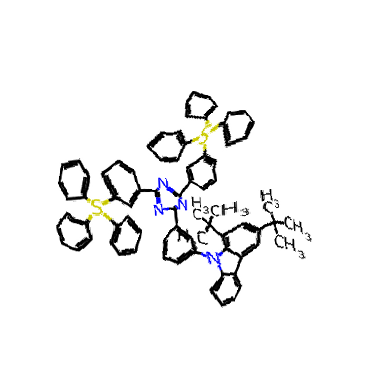 CC(C)(C)c1cc(C(C)(C)C)c2c(c1)c1ccccc1n2-c1cccc(-c2nc(-c3cccc(S(c4ccccc4)(c4ccccc4)c4ccccc4)c3)nc(-c3cccc(S(c4ccccc4)(c4ccccc4)c4ccccc4)c3)n2)c1